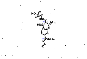 C=C/C=C(\NC)c1ccc2c(c1)N=C(N)/C(=C/NCC(C)(C)O)C2=N